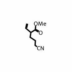 C=CC(CCCC#N)C(=O)OC